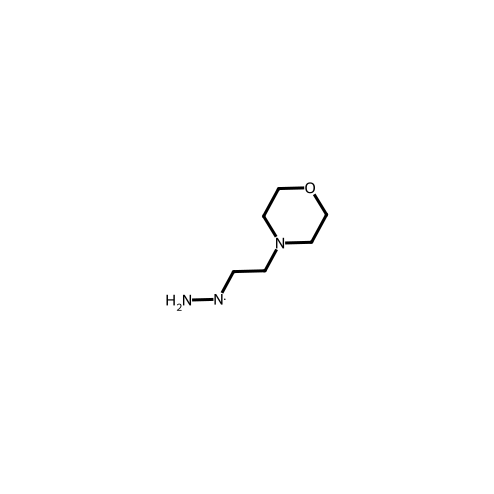 N[N]CCN1CCOCC1